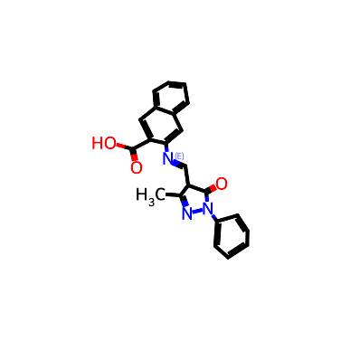 CC1=NN(c2ccccc2)C(=O)C1/C=N/c1cc2ccccc2cc1C(=O)O